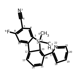 C[Si]1(C)c2cc(C#N)c(F)cc2-c2cccc(-c3ccccn3)c21